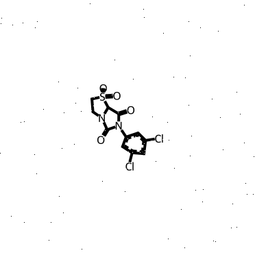 O=C1C2N(CCS2(=O)=O)C(=O)N1c1cc(Cl)cc(Cl)c1